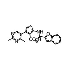 Cc1ncc(-c2csc(NC(=O)c3cc4ccccc4o3)c2C(=O)O)c(C)n1